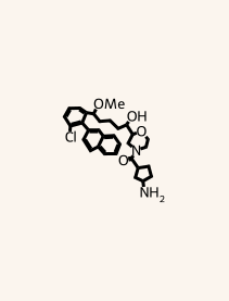 COC(CCCC(O)C1CN(C(=O)C2CCC(N)C2)CCO1)c1cccc(Cl)c1-c1ccc2ccccc2c1